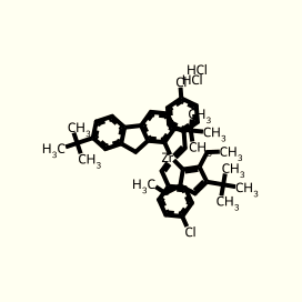 CCC1=[C]([Zr](=[CH]c2ccc(Cl)cc2)(=[CH]c2ccc(Cl)cc2)[c]2c(C(C)(C)C)ccc3c2Cc2cc(C(C)(C)C)ccc2-3)C(CC)C=C1C(C)(C)C.Cl.Cl